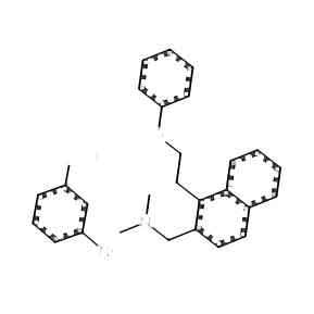 CN(C)Cc1ccc2ccccc2c1CCOc1ccccc1.O=[N+]([O-])c1cccc(S(=O)(=O)O)c1